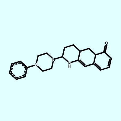 O=C1C=CC=C2C=C3NC(N4CCN(c5ccccc5)CC4)CCC3CC12